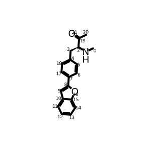 CN[C@@H](Cc1ccc(-c2cc3ccccc3o2)cc1)C(C)=O